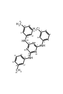 Cc1cccc(Nc2nc(Nc3cccc(C)c3)nc(Nc3cccc(C)c3)n2)c1